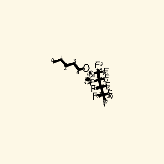 CCCCC[O][Sn](=[O])[C](F)(F)C(F)(F)C(F)(F)C(F)(F)F